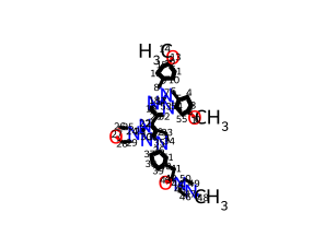 COc1ccc(CN(Cc2ccc(OC)cc2)c2ncc(-c3nc(N4CCOCC4)nc4c3CCN4c3cccc(CC(=O)N4CCN(C)CC4)c3)cn2)cc1